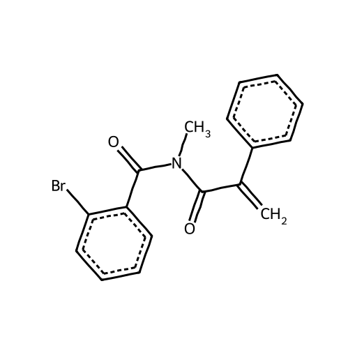 C=C(C(=O)N(C)C(=O)c1ccccc1Br)c1ccccc1